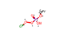 CCCOP(=O)(O)OOCl